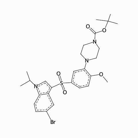 COc1ccc(S(=O)(=O)c2cn(C(C)C)c3ccc(Br)cc23)cc1N1CCN(C(=O)OC(C)(C)C)CC1